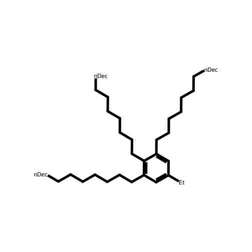 [CH2]Cc1cc(CCCCCCCCCCCCCCCCC)c(CCCCCCCCCCCCCCCCC)c(CCCCCCCCCCCCCCCCC)c1